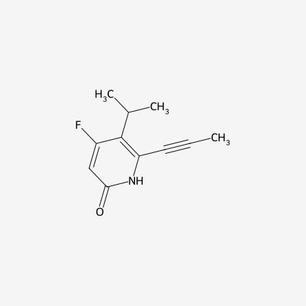 CC#Cc1[nH]c(=O)cc(F)c1C(C)C